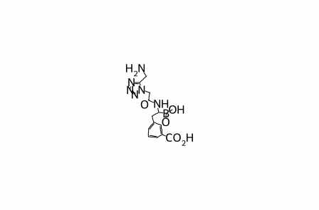 NCc1nnnn1CC(=O)NC1Cc2cccc(C(=O)O)c2OB1O